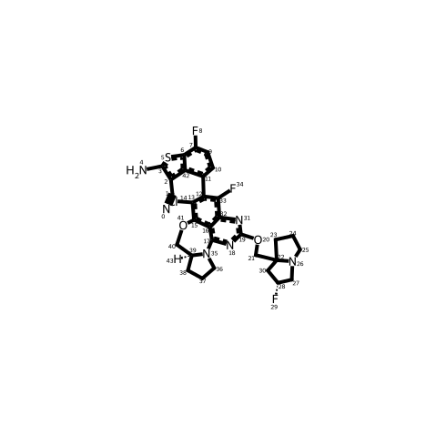 N#Cc1c(N)sc2c(F)ccc(-c3c(Cl)c4c5c(nc(OCC67CCCN6C[C@H](F)C7)nc5c3F)N3CCC[C@H]3CO4)c12